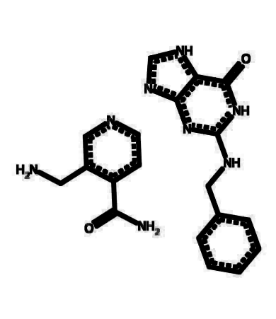 NCc1cnccc1C(N)=O.O=c1[nH]c(NCc2ccccc2)nc2nc[nH]c12